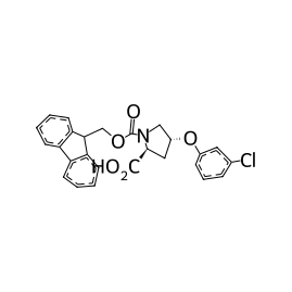 O=C(O)[C@@H]1C[C@@H](Oc2cccc(Cl)c2)CN1C(=O)OCC1c2ccccc2-c2ccccc21